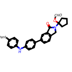 CCCCCc1ccc(Nc2ccc(-c3ccc4c(c3)C(=O)N(C3(OC=O)CCCC3)C4)cc2)cc1